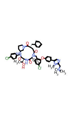 CC(O)[C@@H]1NC(=O)[C@H](C)N(Cc2ccc(Cl)cc2Oc2ccc(-c3cnc(CN(C)C)n3C)cc2)C(=O)C[C@@H](Cc2ccccc2)C(=O)N2CCC[C@@](Cc3ccc(Cl)cc3)(C2)NC1=O